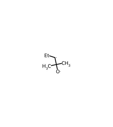 CC[CH]C(C)(C)[O]